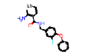 CC/C=C\C(C(=O)NCc1ccc(Oc2ccccc2)c(F)c1)=C(/C)N